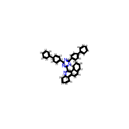 c1ccc(-c2ccc(-c3nc(-c4ccc(-c5ccccc5)cc4)nc(-c4nc5ccccc5c5ccc6ccccc6c45)n3)cc2)cc1